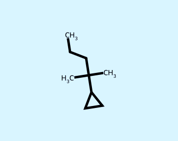 CCCC(C)(C)[C]1CC1